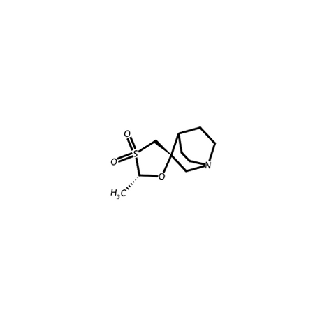 C[C@H]1O[C@]2(CN3CCC2CC3)CS1(=O)=O